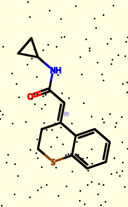 O=C(/C=C1\CCSc2ccccc21)NC1CC1